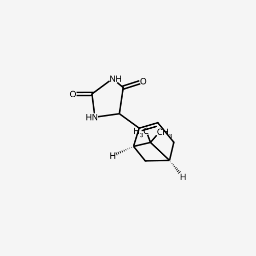 CC1(C)[C@H]2CC=C(C3NC(=O)NC3=O)[C@@H]1C2